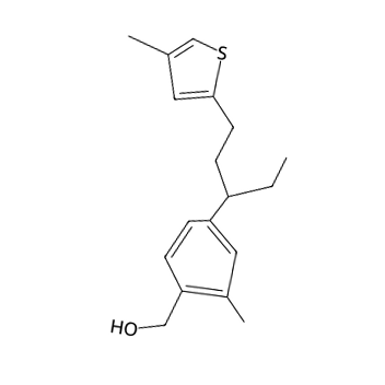 CCC(CCc1cc(C)cs1)c1ccc(CO)c(C)c1